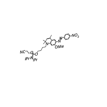 COc1cc2c(cc1/N=N/c1ccc([N+](=O)[O-])cc1)C(C)=CC(C)(C)N2CCCCOP(OCCC#N)N(C(C)C)C(C)C